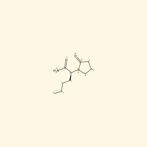 CSCC[C@@H](C(N)=O)N1CCCC1=O